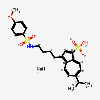 COc1ccc(S(=O)(=O)NCCCCc2cc(S(=O)(=O)O)c3ccc(C(C)C)ccc2-3)cc1.[NaH]